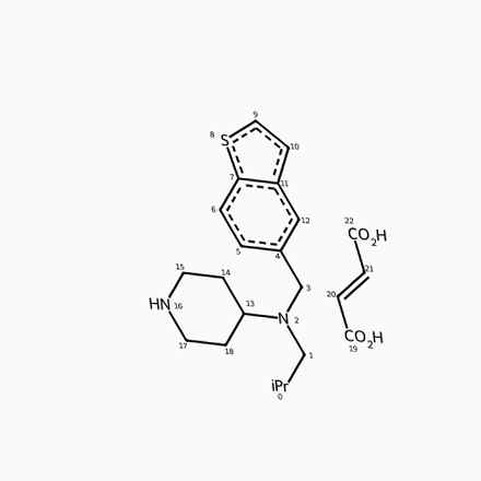 CC(C)CN(Cc1ccc2sccc2c1)C1CCNCC1.O=C(O)C=CC(=O)O